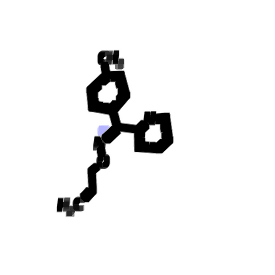 C=CCO/N=C(/c1ccc(C)cc1)c1ccccn1